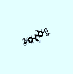 Cc1cc([N+](=O)[O-])ccc1C=C(C#N)c1ccc([N+](=O)[O-])cc1